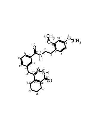 COc1ccc(CCNC(=O)c2cccc(Cc3n[nH]c(=O)c4c3CCCC4)c2)c(OC)c1